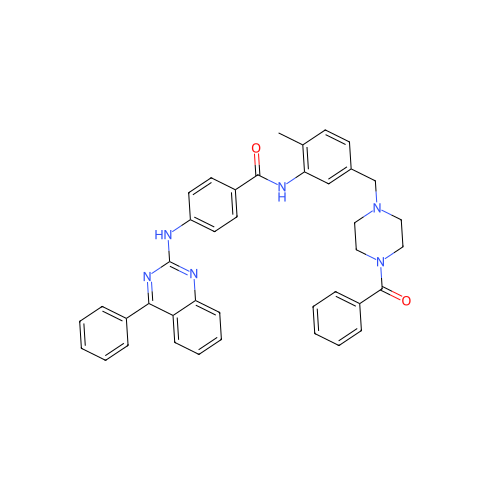 Cc1ccc(CN2CCN(C(=O)c3ccccc3)CC2)cc1NC(=O)c1ccc(Nc2nc(-c3ccccc3)c3ccccc3n2)cc1